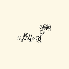 CC(C)(F)CN1CC=C(c2ccnc3c2ccn3Cc2ccc(C(=O)NO)cc2)CC1